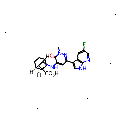 Cn1nc(-c2c[nH]c3ncc(F)cc23)cc(NC2[C@H]3CC[C@H](CC3)[C@@H]2C(=O)O)c1=O